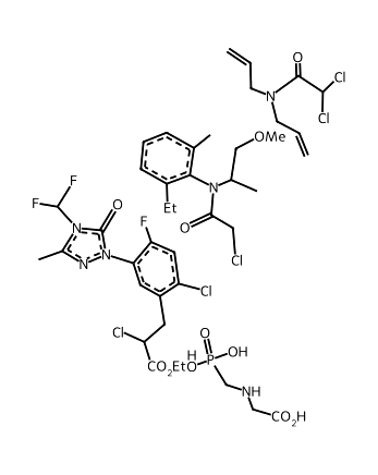 C=CCN(CC=C)C(=O)C(Cl)Cl.CCOC(=O)C(Cl)Cc1cc(-n2nc(C)n(C(F)F)c2=O)c(F)cc1Cl.CCc1cccc(C)c1N(C(=O)CCl)C(C)COC.O=C(O)CNCP(=O)(O)O